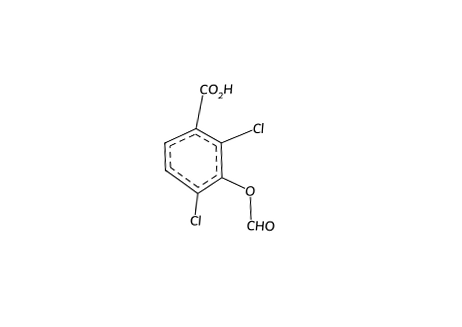 O=COc1c(Cl)ccc(C(=O)O)c1Cl